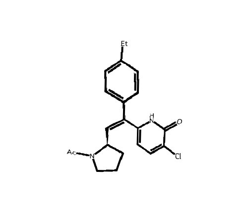 CCc1ccc(C(=C[C@H]2CCCN2C(C)=O)c2ccc(Cl)c(=O)[nH]2)cc1